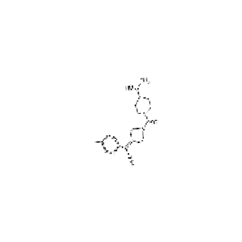 CC(O)C1CCN(C(=O)N2CCC(=C(C#N)c3ccc(F)cc3)CC2)CC1